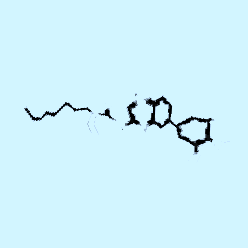 CCCCCCCNC(=O)Nc1cnc2ccc(-c3cc(Cl)c(O)c(Cl)c3)cc2n1